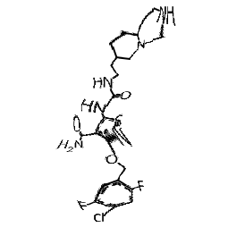 NC(=O)c1c(OCc2cc(F)c(Cl)cc2F)nsc1NC(=O)NCCC1CCC2CNCCN2C1